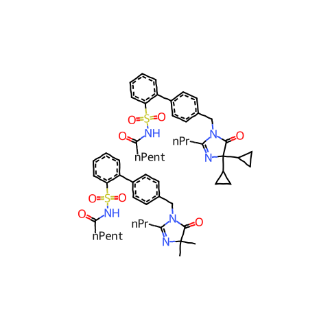 CCCCCC(=O)NS(=O)(=O)c1ccccc1-c1ccc(CN2C(=O)C(C)(C)N=C2CCC)cc1.CCCCCC(=O)NS(=O)(=O)c1ccccc1-c1ccc(CN2C(=O)C(C3CC3)(C3CC3)N=C2CCC)cc1